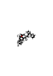 CC(c1ncnn1-c1ncccn1)N(CC1CC1)C(=O)c1cc(Cl)cc(S(=O)(=O)C(F)(F)F)c1